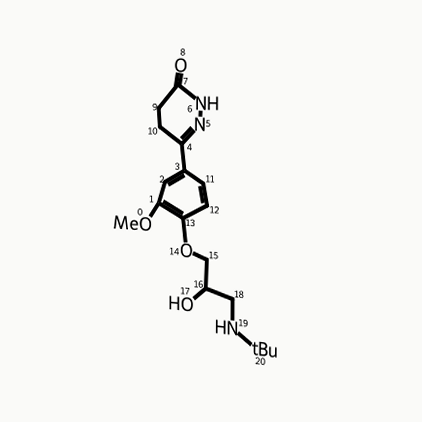 COc1cc(C2=NNC(=O)CC2)ccc1OCC(O)CNC(C)(C)C